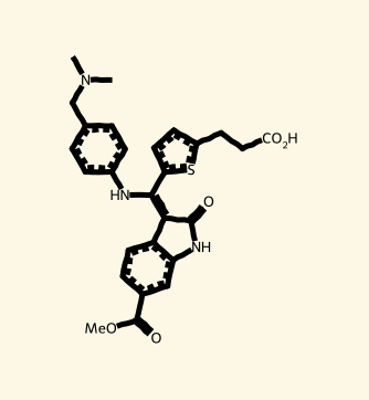 COC(=O)c1ccc2c(c1)NC(=O)C2=C(Nc1ccc(CN(C)C)cc1)c1ccc(CCC(=O)O)s1